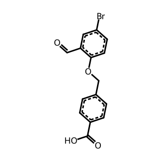 O=Cc1cc(Br)ccc1OCc1ccc(C(=O)O)cc1